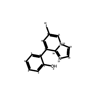 Oc1ccccc1-c1cc(I)cn2ccnc12